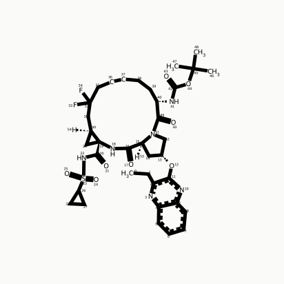 CCc1nc2ccccc2nc1O[C@@H]1C[C@H]2C(=O)N[C@]3(C(=O)NS(=O)(=O)C4CC4)C[C@H]3CC(F)(F)CCCCC[C@H](NC(=O)OC(C)(C)C)C(=O)N2C1